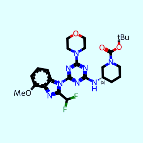 COc1cccc2c1nc(C(F)F)n2-c1nc(N[C@H]2CCCN(C(=O)OC(C)(C)C)C2)nc(N2CCOCC2)n1